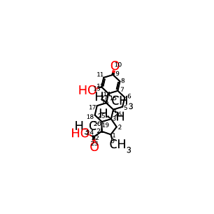 CC1C[C@H]2[C@@H]3CCC4=CC(=O)C=C(O)[C@]4(C)[C@H]3CC[C@]2(C)C1C(=O)O